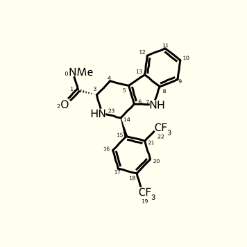 CNC(=O)[C@@H]1Cc2c([nH]c3ccccc23)[C@@H](c2ccc(C(F)(F)F)cc2C(F)(F)F)N1